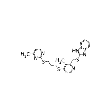 Cc1ccnc(SCCCSc2ccnc(CSc3nc4ccccc4[nH]3)c2C)n1